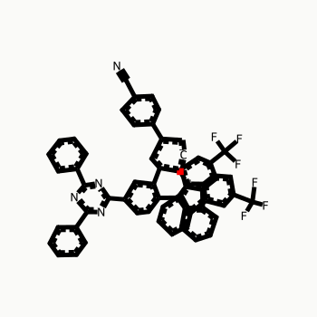 N#Cc1ccc(-c2ccc(-n3c4ccccc4c4cc(C(F)(F)F)ccc43)c(-c3cc(-c4nc(-c5ccccc5)nc(-c5ccccc5)n4)ccc3C3c4ccccc4-c4cc(C(F)(F)F)ccc43)c2)cc1